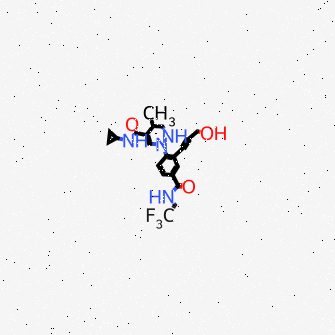 CC1CNN(c2ccc(C(=O)NCC(F)(F)F)cc2C#CCO)C=C1C(=O)NC1CC1